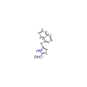 O=Cc1ccc(Cc2cccc3ccccc23)[nH]1